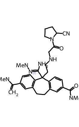 C=C(NC)c1ccc2c(c1)CCc1cc(C(=O)NC)ccc1C2(CCNCC(=O)N1CCCC1C#N)/C(N)=N/NC